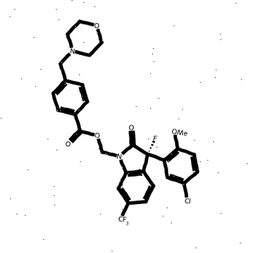 COc1ccc(Cl)cc1[C@]1(F)C(=O)N(COC(=O)c2ccc(CN3CCOCC3)cc2)c2cc(C(F)(F)F)ccc21